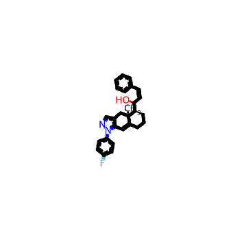 C[C@]12Cc3cnn(-c4ccc(F)cc4)c3C=C1CCC[C@@H]2[C@@H](O)/C=C\c1ccccc1